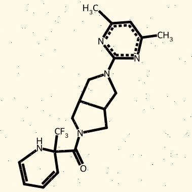 Cc1cc(C)nc(N2CC3CN(C(=O)C4(C(F)(F)F)C=CC=CN4)CC3C2)n1